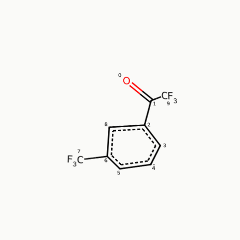 O=C(c1c[c]cc(C(F)(F)F)c1)C(F)(F)F